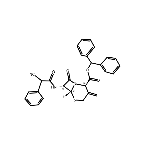 C=C1CS[C@@H]2[C@H](NC(=O)C(C#N)c3ccccc3)C(=O)N2[C@H]1C(=O)OC(c1ccccc1)c1ccccc1